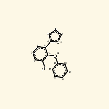 Fc1cc[c]c(-c2cccs2)c1Oc1ccccc1